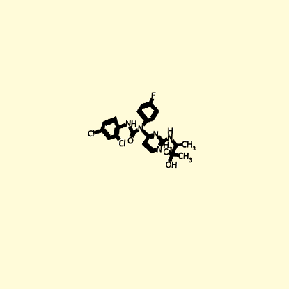 C[C@H](Nc1nccc(N(C(=O)Nc2ccc(Cl)cc2Cl)c2ccc(F)cc2)n1)C(C)(C)O